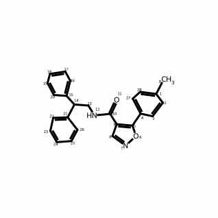 Cc1ccc(-c2oncc2C(=O)NCC(c2ccccc2)c2ccccc2)cc1